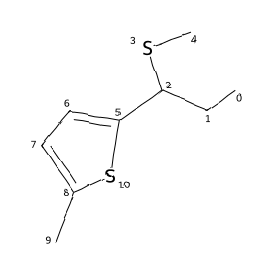 CCC(SC)c1ccc(C)s1